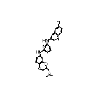 CN(C)CC1COc2ccc(Nc3nccc(Nc4cnc5ccc(Cl)cc5c4)n3)cc2O1